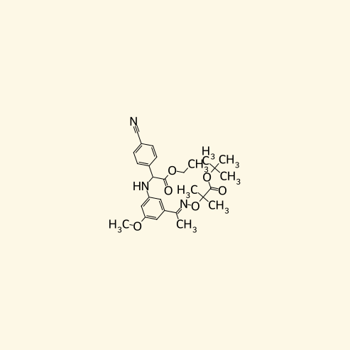 CCOC(=O)C(Nc1cc(OC)cc(C(C)=NOC(C)(C)C(=O)OC(C)(C)C)c1)c1ccc(C#N)cc1